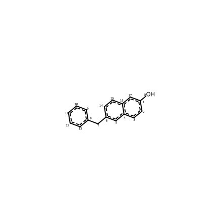 Oc1ccc2cc(Cc3ccccc3)ccc2c1